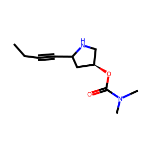 CCC#CC1C[C@H](OC(=O)N(C)C)CN1